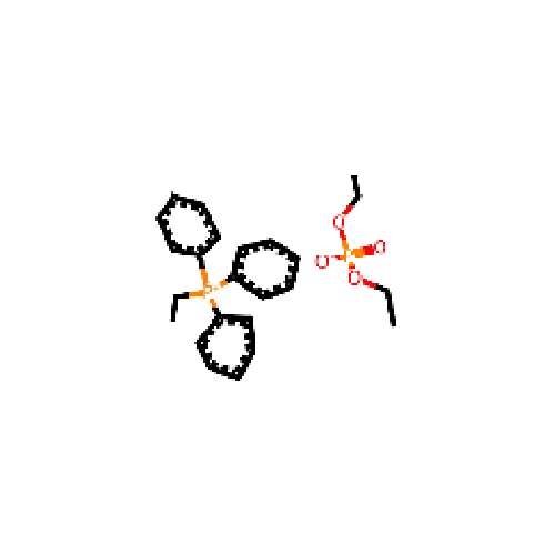 CCOP(=O)([O-])OCC.CC[P+](c1ccccc1)(c1ccccc1)c1ccccc1